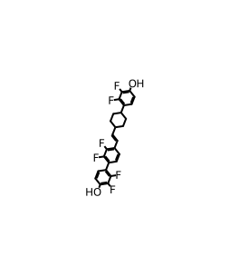 Oc1ccc(-c2ccc(/C=C/C3CCC(c4ccc(O)c(F)c4F)CC3)c(F)c2F)c(F)c1F